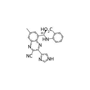 Cc1cc([C@@H](C)Nc2ccccc2C(=O)O)c2nc(-c3c[nH]cn3)c(C#N)nc2c1